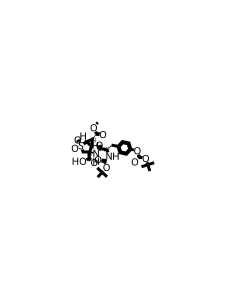 COC(=O)[C@@H]1[C@@H]2[C@H]1S(=O)(=O)C[C@@]2(NC(=O)[C@H](Cc1ccc(OC(=O)OC(C)(C)C)cc1)NC(=O)OC(C)(C)C)C(=O)O